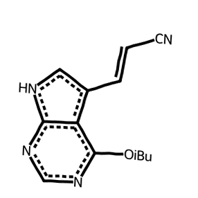 CC(C)COc1ncnc2[nH]cc(C=CC#N)c12